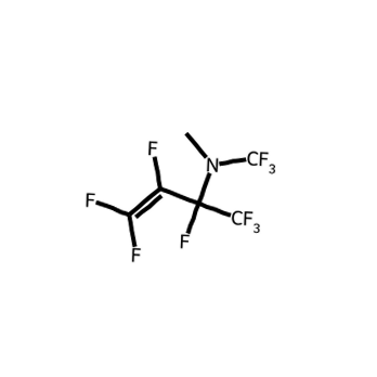 CN(C(F)(F)F)C(F)(C(F)=C(F)F)C(F)(F)F